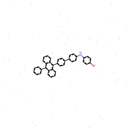 Brc1ccc(Nc2ccc(-c3ccc(-c4c5ccccc5c(-c5ccccc5)c5ccccc45)cc3)cc2)cc1